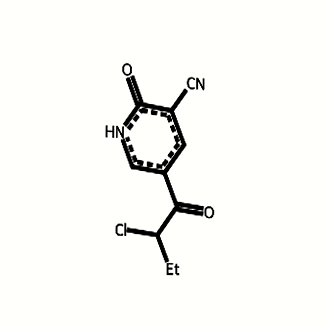 CCC(Cl)C(=O)c1c[nH]c(=O)c(C#N)c1